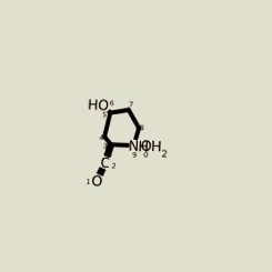 O.O=C=C1CC(O)CCN1